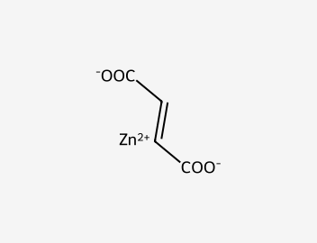 O=C([O-])/C=C/C(=O)[O-].[Zn+2]